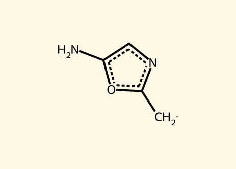 [CH2]c1ncc(N)o1